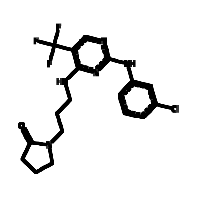 O=C1CCCN1CCCNc1nc(Nc2cccc(Cl)c2)ncc1C(F)(F)F